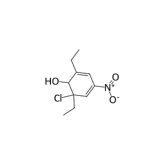 CCC1=CC([N+](=O)[O-])=CC(Cl)(CC)C1O